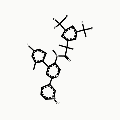 Cc1cc(F)ccc1-c1cc(-c2ccc[n+]([O-])c2)ncc1N(C)C(=O)C(C)(C)c1cc(C(F)(F)F)cc(C(F)(F)F)c1